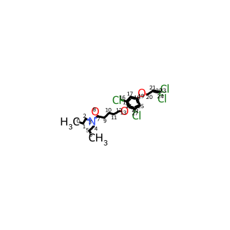 CCCN(CCC)C(=O)CCCCOc1c(Cl)cc(OCC=C(Cl)Cl)cc1Cl